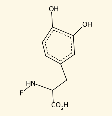 O=C(O)C(Cc1ccc(O)c(O)c1)NF